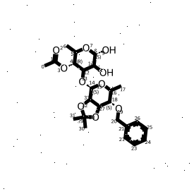 CC(=O)O[C@@H]1C(C)O[C@H](O)C(O)C1O[C@@H]1OC(C)[C@H](OCc2ccccc2)C2OC(C)(C)OC21